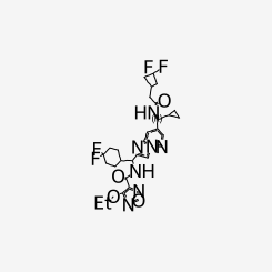 CCOc1nonc1C(=O)NC(c1cn2ncc([C@H](NC(=O)CC3CC(F)(F)C3)C3CC3)cc2n1)C1CCC(F)(F)CC1